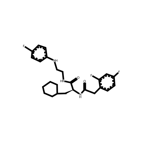 O=C(Cc1ccc(F)cc1F)N[C@@H](CC1CCCCC1)C(=O)NCCNc1ccc(F)cc1